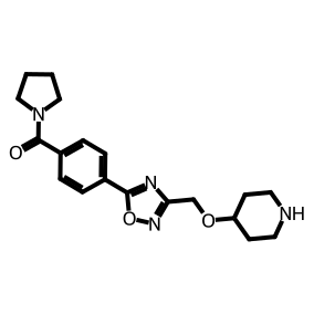 O=C(c1ccc(-c2nc(COC3CCNCC3)no2)cc1)N1CCCC1